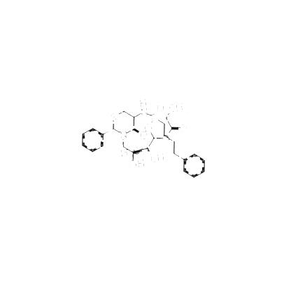 CCC(=O)OC(OP(=O)(CCCCc1ccccc1)NC1CS[C@H](c2ccccc2)N(CC(=O)O)C1=O)C(C)C